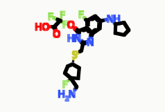 NC[C@]1(F)CC[C@H](SCc2nc3cc(NC4CCCC4)cc(F)c3c(=O)[nH]2)CC1.O=C(O)C(F)(F)F